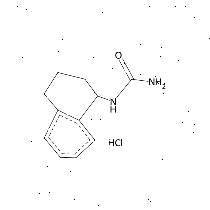 Cl.NC(=O)NC1CCCc2ccccc21